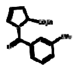 CCOC(=O)C1CC=CN1C(=O)c1cccc(SC)c1